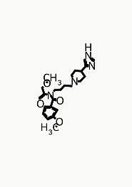 COCC1=COc2ccc(OC)cc2C(=O)N1CCCCN1CCC(c2c[nH]cn2)CC1